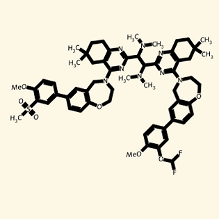 COc1ccc(-c2ccc3c(c2)CN(c2nc(C(C(c4nc5c(c(N6CCOc7ccc(-c8ccc(OC)c(S(C)(=O)=O)c8)cc7C6)n4)CC(C)(C)CC5)N(C)C)N(C)C)nc4c2CC(C)(C)CC4)CCO3)cc1OC(F)F